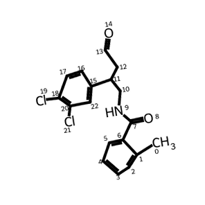 Cc1ccccc1C(=O)NCC(CC=O)c1ccc(Cl)c(Cl)c1